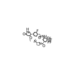 CCOc1cc(=O)[nH]cc1-c1ccc(CC(=O)Nc2cc(C(=O)N3CC[C@@H](N(C)C)C3)cc(S(F)(F)(F)(F)F)c2)c(F)c1